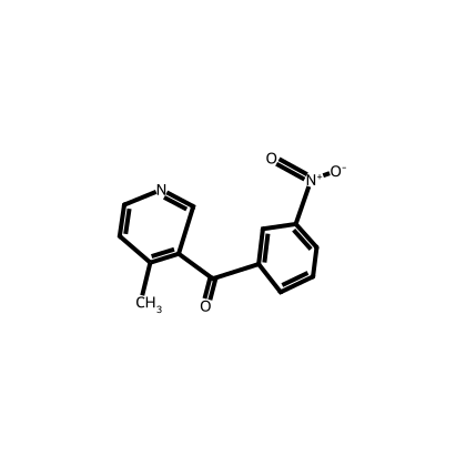 Cc1ccncc1C(=O)c1cccc([N+](=O)[O-])c1